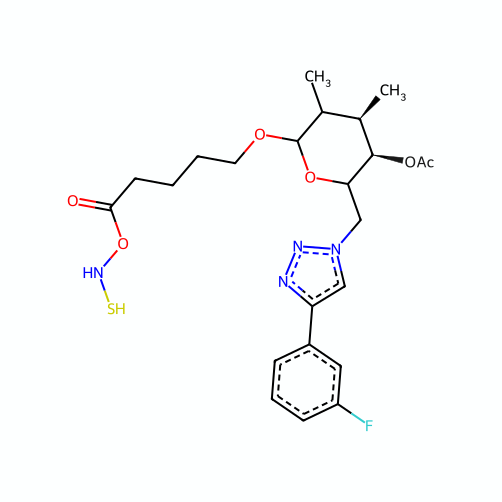 CC(=O)O[C@H]1C(Cn2cc(-c3cccc(F)c3)nn2)OC(OCCCCC(=O)ONS)C(C)[C@H]1C